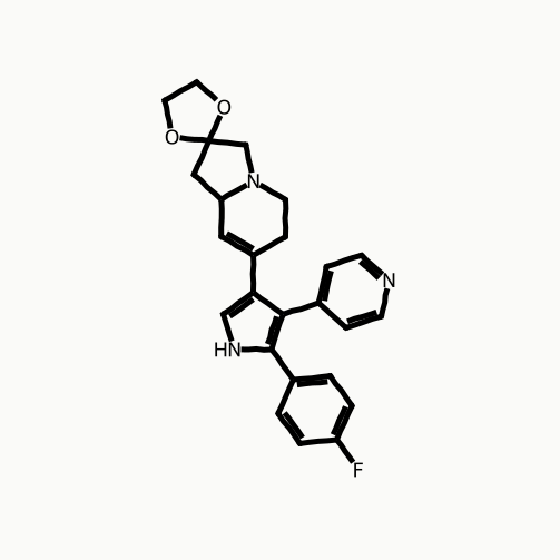 Fc1ccc(-c2[nH]cc(C3=CC4CC5(CN4CC3)OCCO5)c2-c2ccncc2)cc1